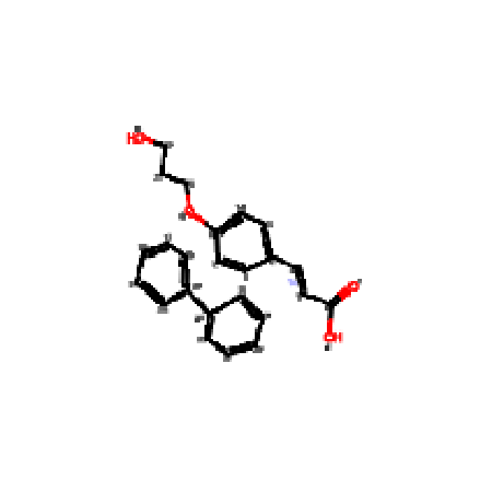 O=C(O)/C=C/c1ccc(OCCCO)cc1.c1ccc(-c2ccccc2)cc1